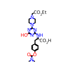 CCOC(=O)CN1CCN(c2nc(O)nc(N[C@@H](Cc3ccc(OC(=O)N(C)C)cc3)C(=O)O)n2)CC1